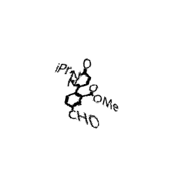 COC(=O)c1cc(C=O)ccc1-c1ccc(=O)n(C(C)C)n1